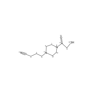 N#CCCCN1CCN(C(=O)CS)CC1